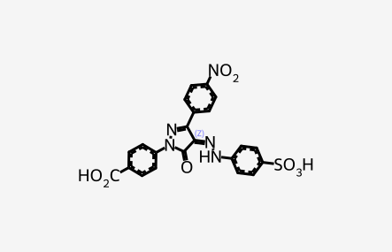 O=C(O)c1ccc(N2N=C(c3ccc([N+](=O)[O-])cc3)/C(=N/Nc3ccc(S(=O)(=O)O)cc3)C2=O)cc1